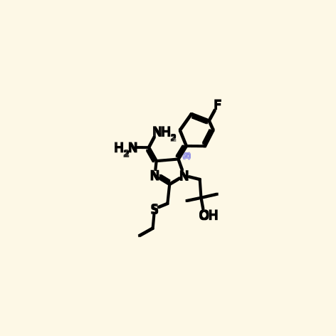 CCSCc1nc(=C(N)N)/c(=C2/C=CC(F)=CC2)n1CC(C)(C)O